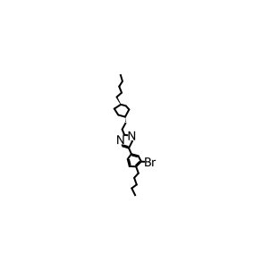 CCCCCc1ccc(-c2cnc(CC[C@H]3CC[C@H](CCCCC)CC3)nc2)cc1Br